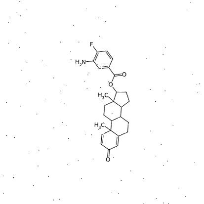 CC12C=CC(=O)C=C1CCC1C2CCC2(C)C(OC(=O)c3ccc(F)c(N)c3)CCC12